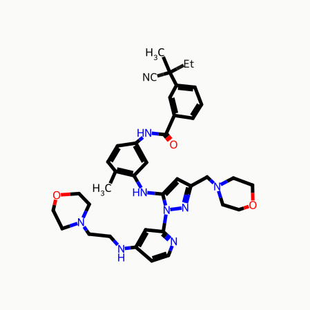 CCC(C)(C#N)c1cccc(C(=O)Nc2ccc(C)c(Nc3cc(CN4CCOCC4)nn3-c3cc(NCCN4CCOCC4)ccn3)c2)c1